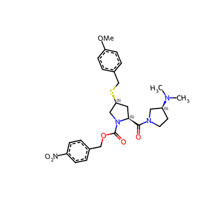 COc1ccc(CS[C@H]2C[C@@H](C(=O)N3CC[C@H](N(C)C)C3)N(C(=O)OCc3ccc([N+](=O)[O-])cc3)C2)cc1